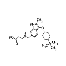 Cc1[nH]c2cc(CNCCC(=O)O)ccc2c1O[C@H]1CC[C@H](C(C)(C)C)CC1